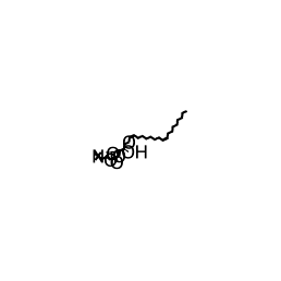 CCCCCCCC/C=C\CCCCCC/C=C\OC[C@@H](O)COP(=O)([O-])OCC[N+](C)(C)C